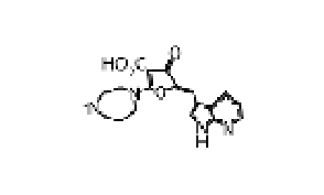 CN1CCCN(C2=C(C(=O)O)C(=O)C(=Cc3c[nH]c4ncccc34)O2)CC1